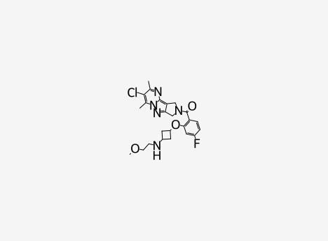 COCCNC1CC(Oc2cc(F)ccc2C(=O)N2Cc3nn4c(C)c(Cl)c(C)nc4c3C2)C1